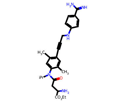 CCOC(=O)C(N)CC(=O)N(c1cc(C)c(C#CCNc2ccc(C(=N)N)cc2)cc1C)C(C)C